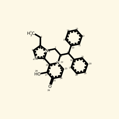 CCc1cnc2n1CC(C(c1ccccc1)c1ccccc1)n1ccc(=O)c(O)c1-2